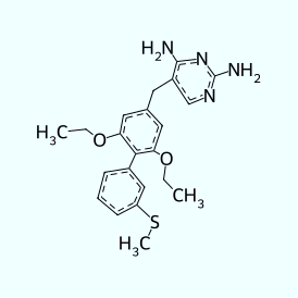 CCOc1cc(Cc2cnc(N)nc2N)cc(OCC)c1-c1cccc(SC)c1